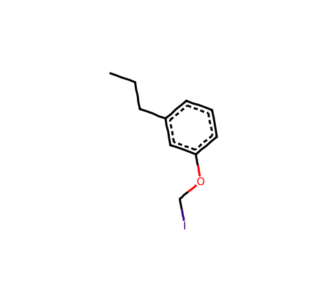 CCCc1cccc(OCI)c1